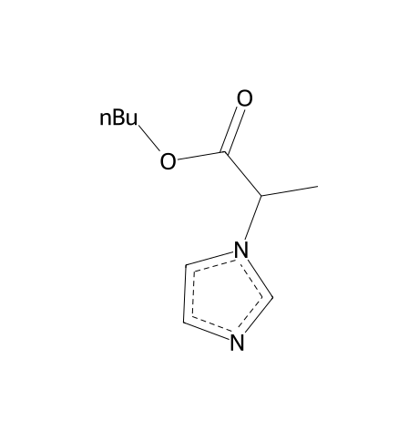 CCCCOC(=O)C(C)n1ccnc1